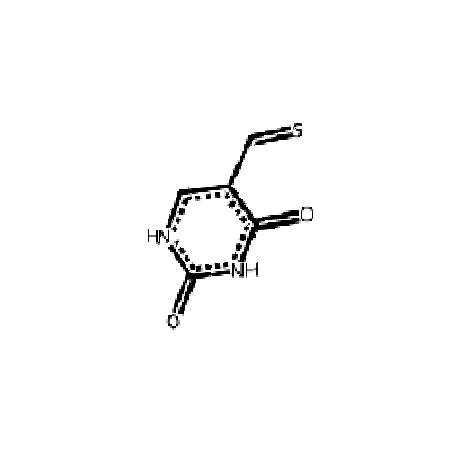 O=c1[nH]cc(C=S)c(=O)[nH]1